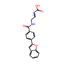 O=C(O)/C=C/CNC(=O)c1ccc(-c2cc3ccccc3o2)cc1